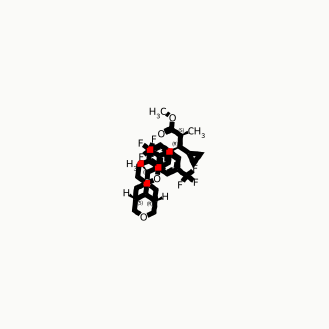 COC(=O)[C@@H](C)[C@H](c1ccc2c(c1)OC(C1[C@@H]3COC[C@H]1CN([C@H](C)c1cc(C(F)(F)F)ccc1C(F)(F)F)C3)CC2)C1CC1